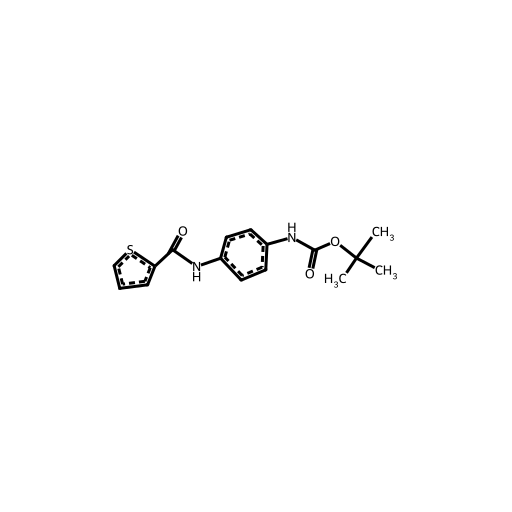 CC(C)(C)OC(=O)Nc1ccc(NC(=O)c2cccs2)cc1